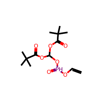 C=CO[PH](=O)OC(OC(=O)C(C)(C)C)OC(=O)C(C)(C)C